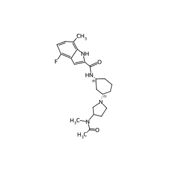 CC(=O)N(C)C1CCN([C@H]2CCC[C@@H](NC(=O)c3cc4c(F)ccc(C)c4[nH]3)C2)C1